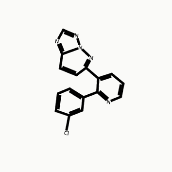 Clc1cccc(-c2ncccc2-c2ccc3ncnn3n2)c1